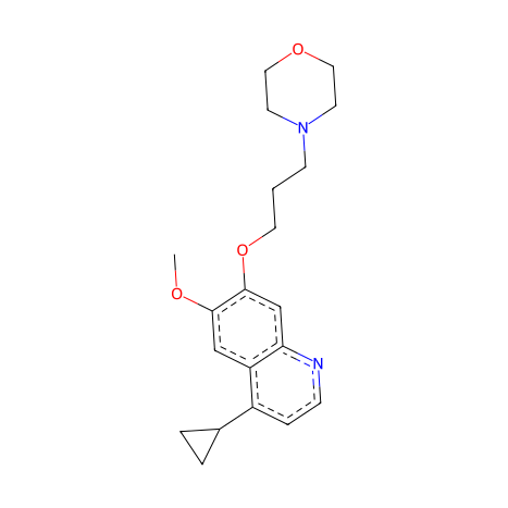 COc1cc2c(C3CC3)ccnc2cc1OCCCN1CCOCC1